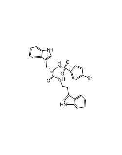 O=C(NCCc1c[nH]c2ccccc12)[C@H](Cc1c[nH]c2ccccc12)NS(=O)(=O)c1ccc(Br)cc1